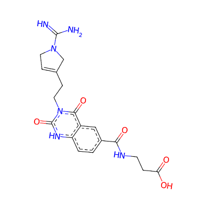 N=C(N)N1CC=C(CCn2c(=O)[nH]c3ccc(C(=O)NCCC(=O)O)cc3c2=O)C1